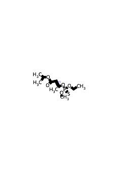 CCOP(=S)(OC)O/C(C)=C/C(=O)OC(C)C